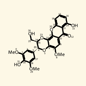 COc1cc([C@H]2Oc3c(OC)cc4c(=O)c5c(O)cccc5oc4c3O[C@@H]2CO)cc(OC)c1O